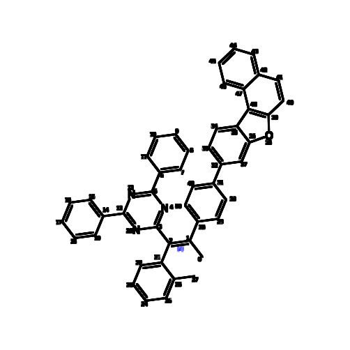 C/C(=C(/c1nc(-c2ccccc2)nc(-c2ccccc2)n1)c1ccccc1C)c1ccc(-c2ccc3c(c2)oc2ccc4ccccc4c23)cc1